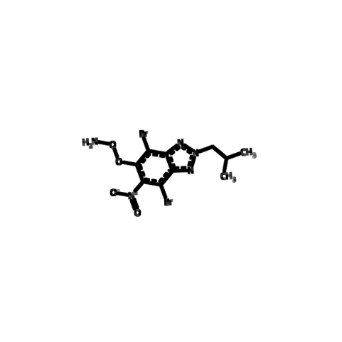 CC(C)Cn1nc2c(Br)c(OON)c([N+](=O)[O-])c(Br)c2n1